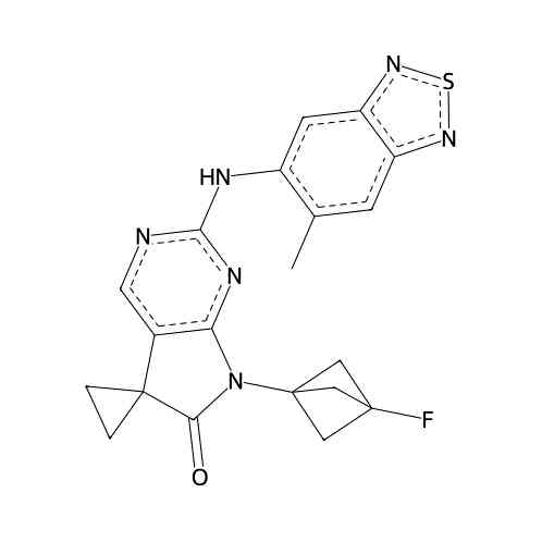 Cc1cc2nsnc2cc1Nc1ncc2c(n1)N(C13CC(F)(C1)C3)C(=O)C21CC1